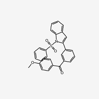 COc1ccc(C(=O)c2cccc(-c3cc4ccccc4n3S(=O)(=O)c3ccccc3)c2)cc1